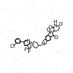 O=C1CCC(N2C(=O)c3cc4c(cc3C2=O)CN(CC2CCN(c3ncc(-c5cccc(Cl)c5)cc3C(F)(F)F)CC2)C4)C(=O)N1